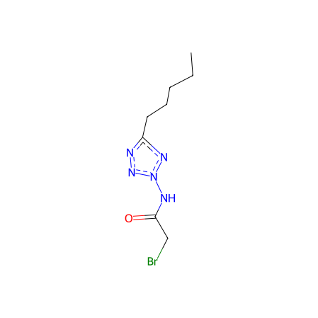 CCCCCc1nnn(NC(=O)CBr)n1